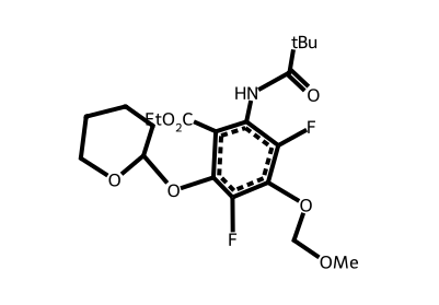 CCOC(=O)c1c(NC(=O)C(C)(C)C)c(F)c(OCOC)c(F)c1OC1CCCCO1